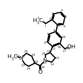 CCc1ccccc1-c1ccc(C2CCN(C(=O)C3CCN(C)CC3)C2)c(CO)c1